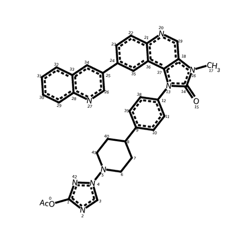 CC(=O)Oc1ncn(N2CCC(c3ccc(-n4c(=O)n(C)c5cnc6ccc(-c7cnc8ccccc8c7)cc6c54)cc3)CC2)n1